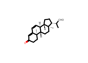 CC(C=O)[C@H]1CC[C@H]2[C@@H]3C=CC4=CC(=O)CC[C@]4(C)[C@H]3CC[C@]12C